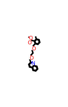 COC(=O)c1c(C)cccc1COCCCOCc1ccc2ccccc2n1